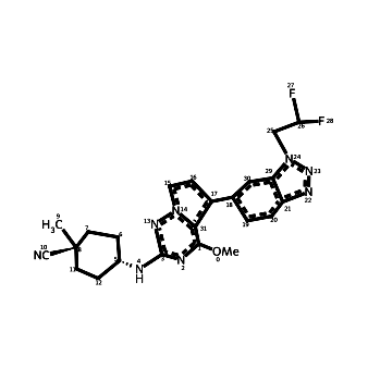 COc1nc(N[C@H]2CC[C@](C)(C#N)CC2)nn2ccc(-c3ccc4nnn(CC(F)F)c4c3)c12